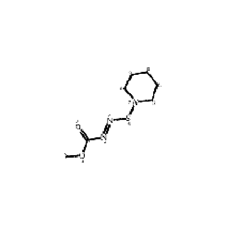 COC(=O)N=NSN1CCCCC1